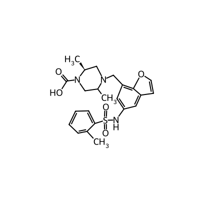 Cc1ccccc1S(=O)(=O)Nc1cc(CN2C[C@H](C)N(C(=O)O)CC2C)c2occc2c1